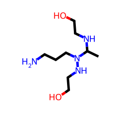 CC(NCCO)N(CCCN)NCCO